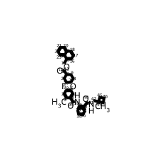 Cc1cc(F)c(OC2CCC(C(=O)OCc3cccc4ccccc34)CC2)cc1C(=O)NC1C2C=CC(C2)C1C(=O)NCC1(C)CCC1